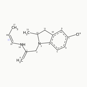 C=C(CN1c2ccc(Cl)cc2CC1C)N/C=C\C